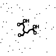 O=CC(CCC(=O)O)CCC(=O)O